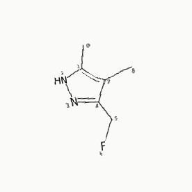 Cc1[nH]nc(CF)c1C